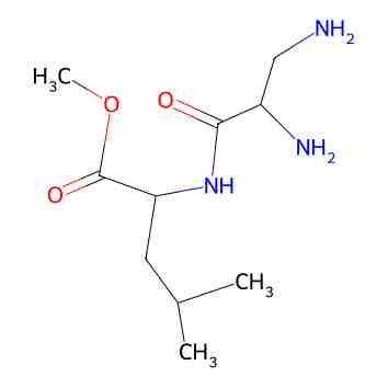 COC(=O)C(CC(C)C)NC(=O)C(N)CN